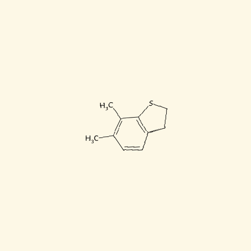 Cc1ccc2c(c1C)SCC2